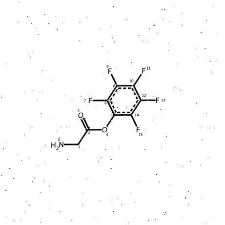 NCC(=O)Oc1c(F)c(F)c(F)c(F)c1F